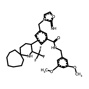 COc1cc(CNC(=O)c2cc(Cn3ccoc3=N)cc(C3CCC4(CCCCCCC4)NC3C(F)(F)F)c2)cc(OC)c1